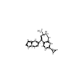 C[C@@H]1C=C(c2ccn3nccc3n2)c2cnc(C3CC3)nc2CN1